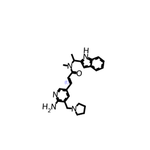 CC(c1cc2ccccc2[nH]1)N(C)C(=O)/C=C/c1cnc(N)c(CN2CCCC2)c1